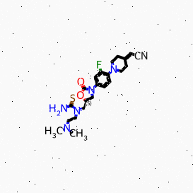 CN(C)CCN(C[C@@H]1CN(c2ccc(N3CCC(=CC#N)CC3)c(F)c2)C(=O)O1)C(N)=S